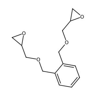 c1ccc(COCC2CO2)c(COCC2CO2)c1